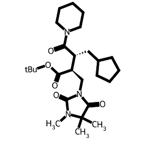 CN1C(=O)N(C[C@@H](C(=O)OC(C)(C)C)[C@@H](CC2CCCC2)C(=O)N2CCCCC2)C(=O)C1(C)C